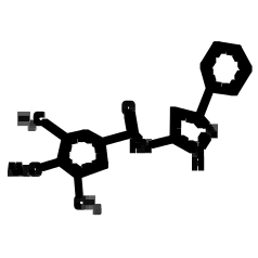 COc1c(C)cc(C(=O)Nc2cc(-c3ccccc3)n[nH]2)cc1C